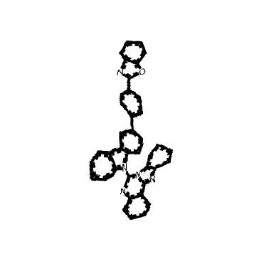 c1ccc2oc(-c3ccc(-c4ccc5c(c4)c4ccccc4n5-c4nc5ccccc5c5nc6ccccc6n45)cc3)nc2c1